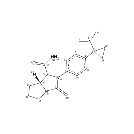 CN(C)C1(c2ccc(N3C(=O)N4CC[CH][C@@H]4C3C(N)=O)cc2)CC1